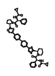 O=C(N[C@H](C(=O)N1CCCC[C@@H]1c1ncc(-c2ccc(-c3ccc(-c4cnc([C@H]5CCCN5C(=O)[C@@H](NC(=O)C5CC5)c5ccccc5)s4)cc3)cc2)s1)c1ccccc1)C1CC1